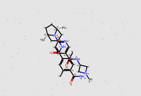 Cc1cc(C(=O)N[C@H]2C[C@H]3CC[C@@H](C2)N3c2ccc(C(=O)NC3CN(C(C)C)C3)cn2)c(C)cc1C(N)=O